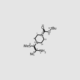 CS/C(=C(/N)C#N)N1CCN(C(=O)OC(C)(C)C)CC1